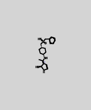 C/C(N[C@H]1CC[C@@H](CS(=N)(=O)Cc2ccccc2)CC1)=C1/C=CNC1=N